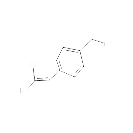 CC(C)Cc1ccc(C=C(Br)Br)cc1